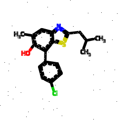 Cc1cc2nc(CC(C)C)sc2c(-c2ccc(Cl)cc2)c1O